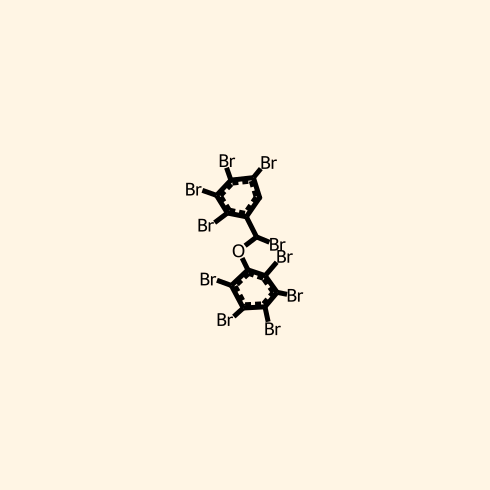 Brc1cc(C(Br)Oc2c(Br)c(Br)c(Br)c(Br)c2Br)c(Br)c(Br)c1Br